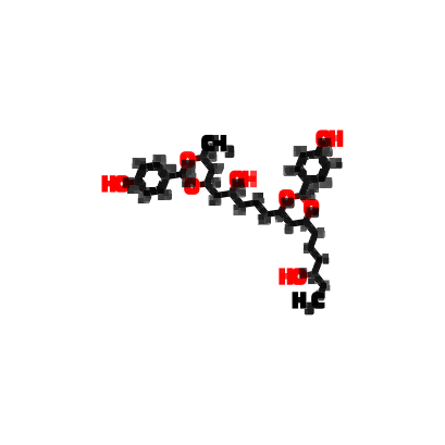 CCC(O)CCCC1CC(CCCC(O)CC2CC(C)OC(c3ccc(O)cc3)O2)OC(c2ccc(O)cc2)O1